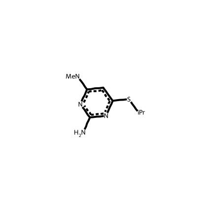 CNc1cc(SC(C)C)nc(N)n1